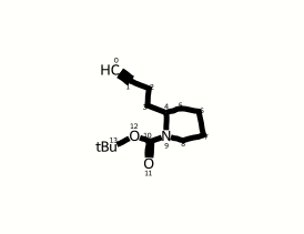 C#CCCC1CCCCN1C(=O)OC(C)(C)C